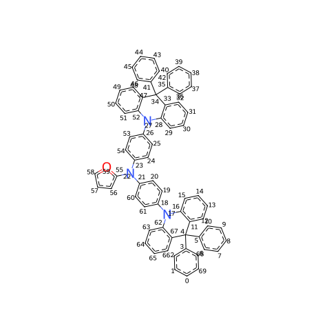 c1ccc(C2(c3ccccc3)c3ccccc3N(c3ccc(N(c4ccc(N5c6ccccc6C(c6ccccc6)(c6ccccc6)c6ccccc65)cc4)c4ccco4)cc3)c3ccccc32)cc1